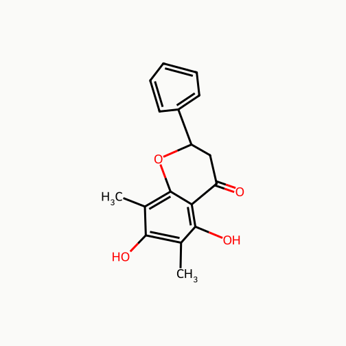 Cc1c(O)c(C)c2c(c1O)C(=O)CC(c1ccccc1)O2